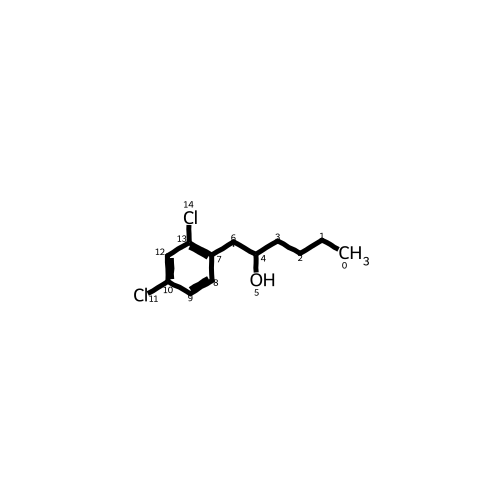 CCCCC(O)[CH]c1ccc(Cl)cc1Cl